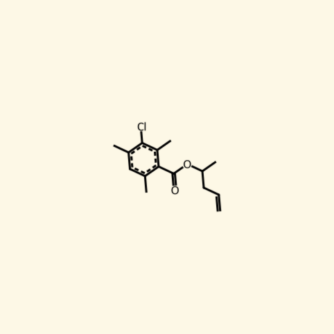 C=CCC(C)OC(=O)c1c(C)cc(C)c(Cl)c1C